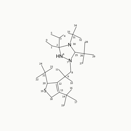 CCC1(C(C)C)NN(CC(C)(C)C2=C(C(C)(C)C)CSC2C(C)(C)C)C(C(C)(C)C)N1C(C)(C)C